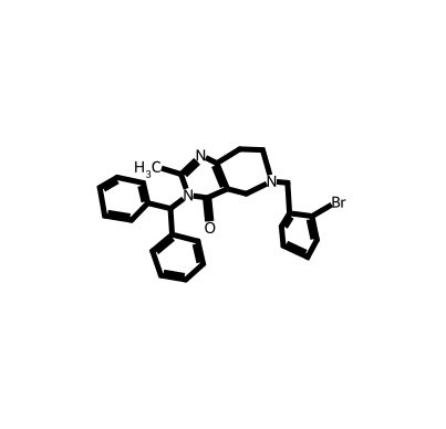 Cc1nc2c(c(=O)n1C(c1ccccc1)c1ccccc1)CN(Cc1ccccc1Br)CC2